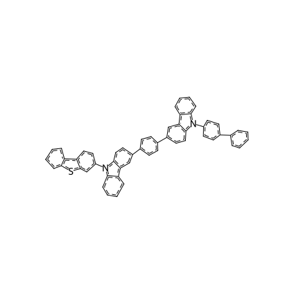 c1ccc(-c2ccc(-n3c4ccccc4c4cc(-c5ccc(-c6ccc7c(c6)c6ccccc6n7-c6ccc7c(c6)sc6ccccc67)cc5)ccc43)cc2)cc1